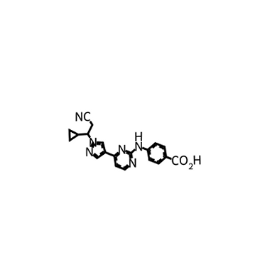 N#CCC(C1CC1)n1cc(-c2ccnc(Nc3ccc(C(=O)O)cc3)n2)cn1